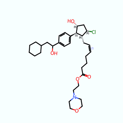 O=C(CCC/C=C\C[C@@H]1[C@@H](c2ccc(C(O)CC3CCCCC3)cc2)[C@H](O)C[C@H]1Cl)OCCN1CCOCC1